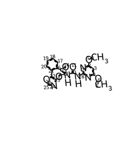 COc1cc(OC)nc(NC(=O)NS(=O)(=O)c2ccccc2-c2cnco2)n1